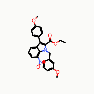 CCOC(=O)c1c(-c2ccc(OC)cc2)c2cccc([N+](=O)[O-])c2n1Cc1cccc(OC)c1